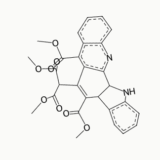 COC(=O)C1=C(C(C(=O)OC)C(=O)OC)c2c(nc3ccccc3c2C(=O)OC)C2Nc3ccccc3C12